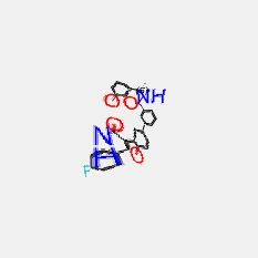 CNC(=O)c1c(-c2ccc(F)cc2)oc2ccc(-c3cccc(C(=O)N[C@@H](C)c4cccc(OC)c4)c3)cc12